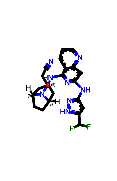 N#CCCN1[C@@H]2CC[C@H]1C[C@H](Nc1nc(Nc3cc(C(F)F)[nH]n3)cc3ncccc13)C2